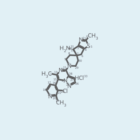 Cc1nc2c(s1)CC1(CCN(c3nc(C)c(-c4ccnc(C)c4Cl)n4nccc34)CC1)[C@@H]2N.Cl